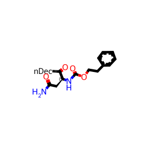 CCCCCCCCCCC(=O)[C@H](CC(N)=O)NC(=O)OCCc1ccccc1